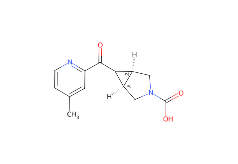 Cc1ccnc(C(=O)C2[C@H]3CN(C(=O)O)C[C@@H]23)c1